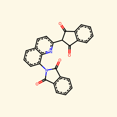 O=C1c2ccccc2C(=O)C1c1ccc2cccc(N3C(=O)c4ccccc4C3=O)c2n1